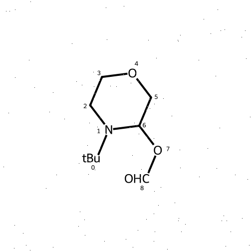 CC(C)(C)N1CCOCC1OC=O